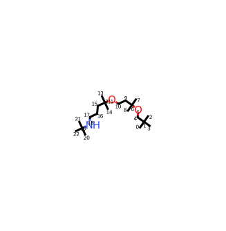 CC(C)(C)COC(C)(C)CCOC(C)(C)CCCNC(C)(C)C